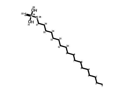 CCCCCCCCCCCCCCCCCCSP(O)(O)=S